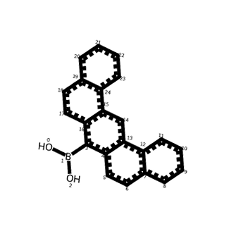 OB(O)c1c2ccc3ccccc3c2cc2c1ccc1ccccc12